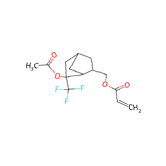 C=CC(=O)OCC1CC2CC1C(OC(C)=O)(C(F)(F)F)C2